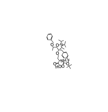 CC(OCc1ccccc1)C(O[Si](C(C)C)(C(C)C)C(C)C)C(Cc1ccc(F)cc1)OCCC(NC(=O)OC(C)(C)C)C(=O)O